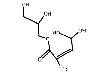 CC(=CC(O)O)C(=O)OCC(O)CO